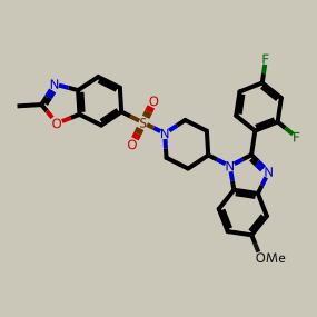 COc1ccc2c(c1)nc(-c1ccc(F)cc1F)n2C1CCN(S(=O)(=O)c2ccc3nc(C)oc3c2)CC1